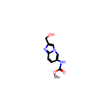 CC(C)(C)OC(=O)Nc1ccc2nc(CO)cn2c1